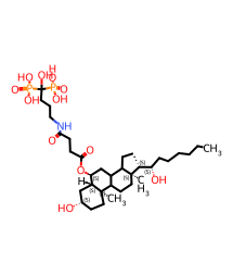 CCCCCC[C@H](O)[C@H]1CCC2C3C[C@H](OC(=O)CCC(=O)NCCCC(O)(P(=O)(O)O)P(=O)(O)O)[C@H]4C[C@@H](O)CC[C@]4(C)C3CC[C@@]21C